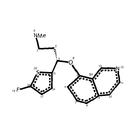 CNCC[C@H](Oc1cccc2ccncc12)c1ccc(F)s1